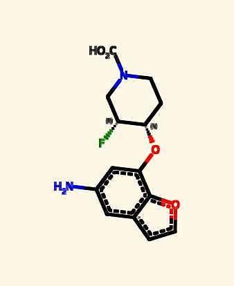 Nc1cc(O[C@H]2CCN(C(=O)O)C[C@H]2F)c2occc2c1